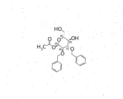 CC(=O)O[C@H]1O[C@H](CO)[C@@H](O)[C@H](OCc2ccccc2)[C@H]1OCc1ccccc1